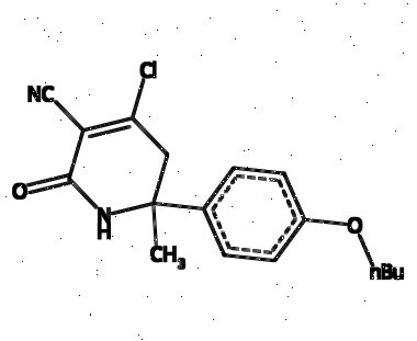 CCCCOc1ccc(C2(C)CC(Cl)=C(C#N)C(=O)N2)cc1